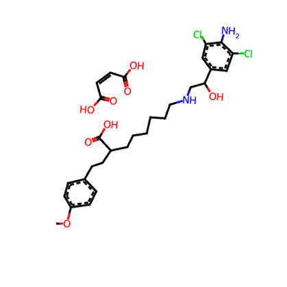 COc1ccc(CCC(CCCCCCNCC(O)c2cc(Cl)c(N)c(Cl)c2)C(=O)O)cc1.O=C(O)/C=C\C(=O)O